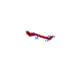 Cc1c(COc2ccc(CNCCOCCOCCOCCOCCC(=O)NCCNC(=O)C(C)c3ccc(CC(C)C)cc3)cn2)cccc1-c1ccccc1